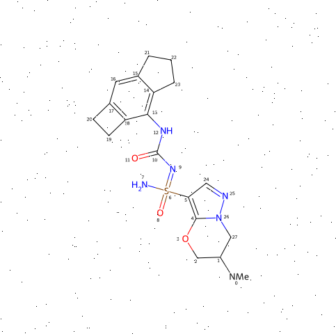 CNC1COc2c(S(N)(=O)=NC(=O)Nc3c4c(cc5c3CC5)CCC4)cnn2C1